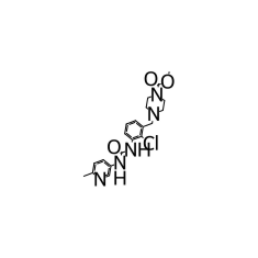 COC(=O)N1CCN(Cc2cccc(NC(=O)Nc3ccc(C)nc3)c2Cl)CC1